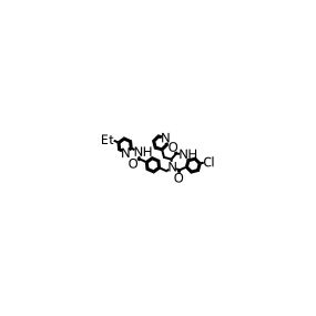 CCc1ccc(NC(=O)c2ccc(CN3C(=O)c4ccc(Cl)cc4NC(=O)C3Cc3cccnc3)cc2)nc1